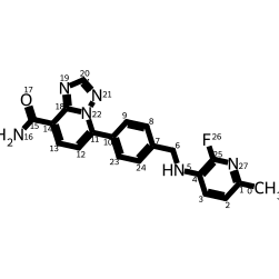 Cc1ccc(NCc2ccc(-c3ccc(C(N)=O)c4n[c]nn34)cc2)c(F)n1